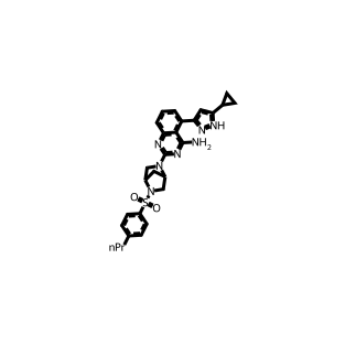 CCCc1ccc(S(=O)(=O)N2CC3CC2CN3c2nc(N)c3c(-c4cc(C5CC5)[nH]n4)cccc3n2)cc1